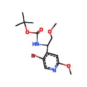 COCC(NC(=O)OC(C)(C)C)c1cc(OC)ncc1Br